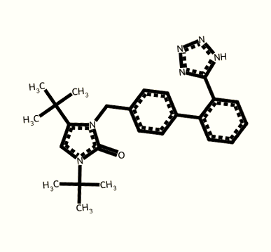 CC(C)(C)c1cn(C(C)(C)C)c(=O)n1Cc1ccc(-c2ccccc2-c2nnn[nH]2)cc1